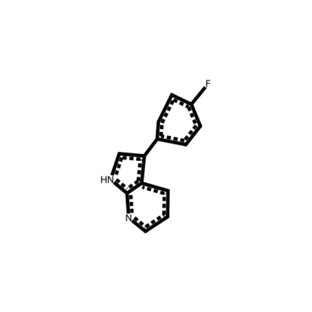 Fc1ccc(-c2c[nH]c3ncccc23)cc1